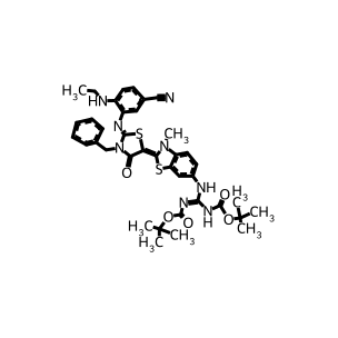 CCNc1ccc(C#N)cc1N=C1SC(=C2Sc3cc(NC(=NC(=O)OC(C)(C)C)NC(=O)OC(C)(C)C)ccc3N2C)C(=O)N1Cc1ccccc1